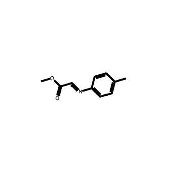 COC(=O)C=Nc1ccc(C)cc1